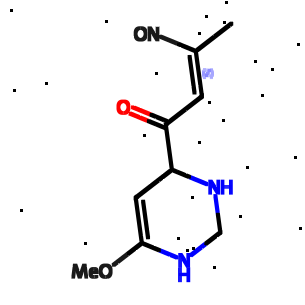 COC1=CC(C(=O)/C=C(/C)N=O)NCN1